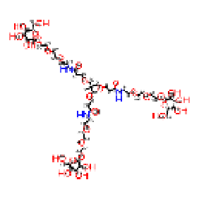 CC(COCCC(=O)NCCOCCOCCO[C@H]1OC(CO)[C@@H](O)C(O)C1O)(COCCC(=O)NCCOCCOCCO[C@H]1OC(CO)[C@@H](O)C(O)C1O)COCCC(=O)NCCOCCOCCO[C@@]1(C)OC(CO)[C@@H](O)C(O)C1O